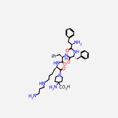 CC(C)C[C@@H](NC(=O)[C@@H](Cc1ccccc1)NC(=O)[C@H](N)Cc1ccccc1)C(=O)N[C@H](CCCCNCCCN)C(=O)N1CCC(N)(C(=O)O)CC1